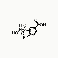 O=C(O)c1ccc(Br)c(S(=O)(=O)NO)c1